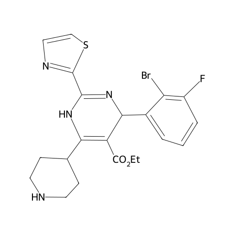 CCOC(=O)C1=C(C2CCNCC2)NC(c2nccs2)=NC1c1cccc(F)c1Br